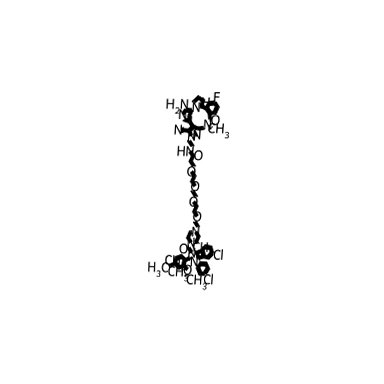 CCOc1cc(C(C)(C)C)ccc1C1=N[C@]2(c3ccc(Cl)cc3)c3cc(Cl)ccc3[C@@]2(C)N1C(=O)N1CCN(CCOCCOCCOCCOCCC(=O)NCCn2nc3c(c2C#N)-c2cnc(N)c(c2)N2CCC[C@@H]2c2cc(F)ccc2C(=O)N(C)C3)CC1